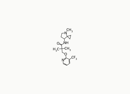 CN1CCC(NC(=O)C(C)(C)COc2ncccc2C(F)(F)F)C12CC2